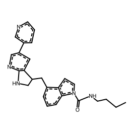 CCCCNC(=O)n1ccc2c(CC3CNc4ncc(-c5cccnc5)cc43)cccc21